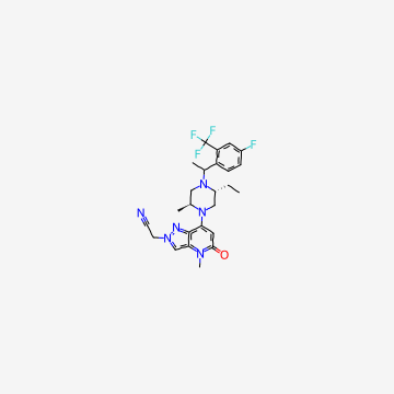 CC[C@@H]1CN(c2cc(=O)n(C)c3cn(CC#N)nc23)[C@@H](C)CN1C(C)c1ccc(F)cc1C(F)(F)F